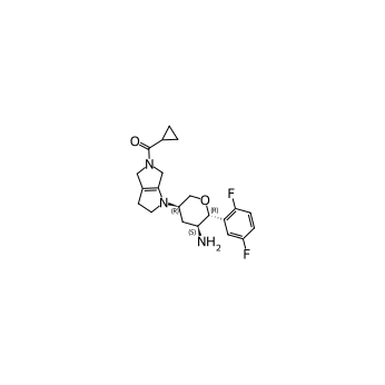 N[C@H]1C[C@@H](N2CCC3=C2CN(C(=O)C2CC2)C3)CO[C@@H]1c1cc(F)ccc1F